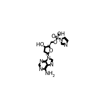 Nc1ncnc2c1ncn2[C@H]1CC(O)[C@@H](COP(=O)(O)n2ccnc2)O1